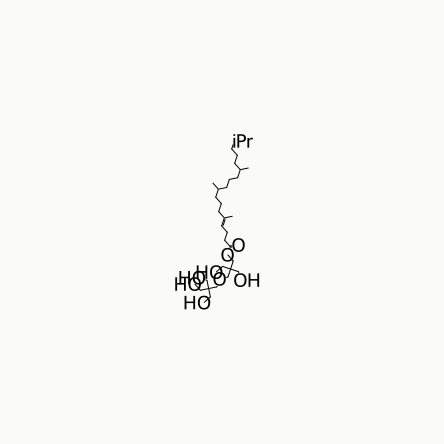 C/C(=C\CCC(=O)OCC(CO)(CO)COCC(CO)(CO)CO)CCCC(C)CCCC(C)CCCC(C)C